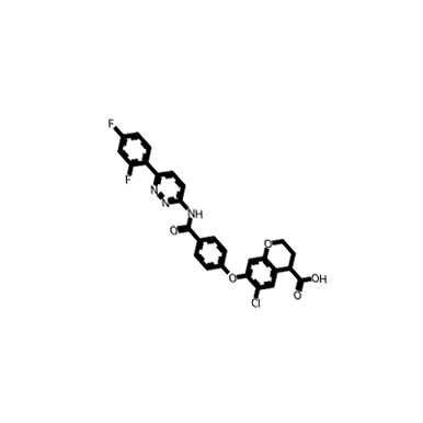 O=C(Nc1ccc(-c2ccc(F)cc2F)nn1)c1ccc(Oc2cc3c(cc2Cl)C(C(=O)O)CCO3)cc1